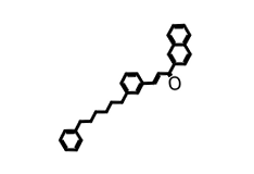 O=C(/C=C/c1cccc(CCCCCCc2ccccc2)c1)c1ccc2ccccc2c1